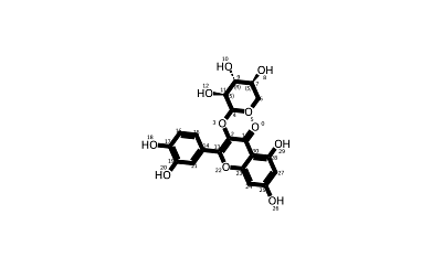 O=c1c(OC2OC[C@H](O)[C@@H](O)[C@@H]2O)c(-c2ccc(O)c(O)c2)oc2cc(O)cc(O)c12